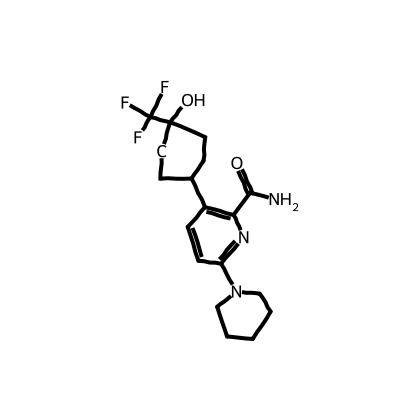 NC(=O)c1nc(N2CCCCC2)ccc1C1CCC(O)(C(F)(F)F)CC1